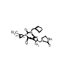 Cc1c(CN2CCNC2=O)sc2c1c(=O)n([C@H]1C[C@@H]1C)c(=O)n2CC1CCC1